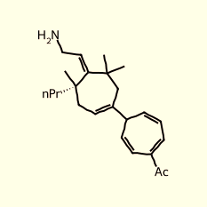 CCC[C@@]1(C)CC=C(C2C=CC=C(C(C)=O)C=C2)CC(C)(C)/C1=C/CN